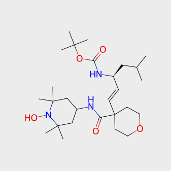 CC(C)C[C@@H](/C=C/C1(C(=O)NC2CC(C)(C)N(O)C(C)(C)C2)CCOCC1)NC(=O)OC(C)(C)C